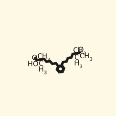 CC(=O)C(C)(C)CCCCCc1ccccc1CCCCCC(C)(C)C(=O)O